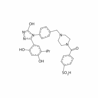 CC(C)c1cc(-c2nnc(O)n2-c2ccc(CN3CCN(C(=O)c4ccc(S(=O)(=O)O)cc4)CC3)cc2)c(O)cc1O